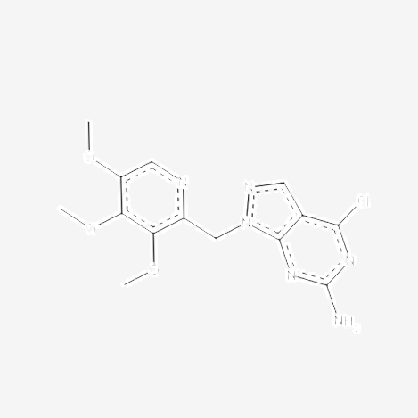 COc1cnc(Cn2ncc3c(Cl)nc(N)nc32)c(OC)c1OC